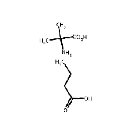 CC(C)(N)C(=O)O.CCCC(=O)O